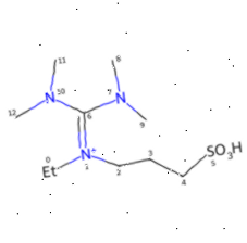 CC[N+](CCCS(=O)(=O)O)=C(N(C)C)N(C)C